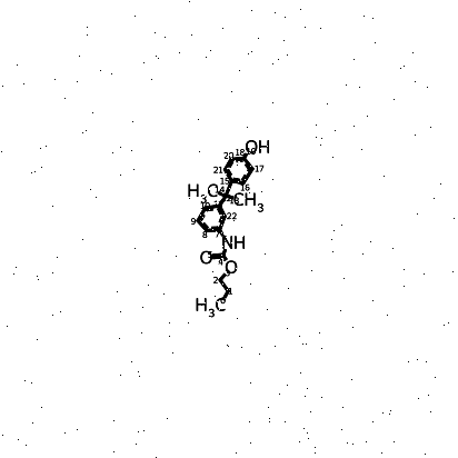 CCCOC(=O)Nc1cccc(C(C)(C)c2ccc(O)cc2)c1